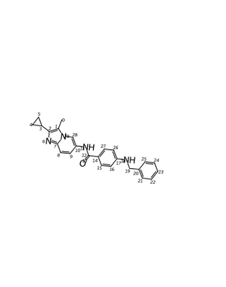 Cc1c(C2CC2)nc2ccc(NC(=O)c3ccc(NCc4ccccc4)cc3)cn12